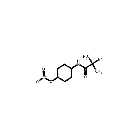 CC(C)(Br)C(=O)NC1CCC(O[N+](=O)[O-])CC1